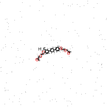 Cc1cc(C2CCC(c3ccc(OCCOCC4CO4)cc3)CC2)ccc1OCCOCC1CO1